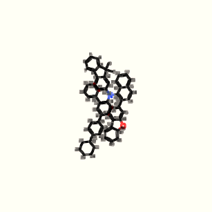 CC1(C)c2ccccc2-c2ccc(N(c3ccc(-c4ccc(C5CCCCC5)cc4)cc3-c3ccccc3)c3c(-c4ccc5c(c4)oc4ccccc45)ccc4ccccc34)cc21